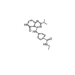 CCNC(=O)c1ccc(Nc2nc(C(C)C)nc3cc[nH]c(=O)c23)cc1